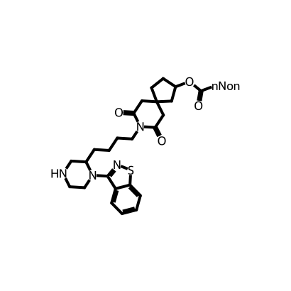 CCCCCCCCCC(=O)OC1CCC2(CC(=O)N(CCCCC3CNCCN3c3nsc4ccccc34)C(=O)C2)C1